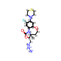 [N-]=[N+]=NC[C@H]1OC(=O)N2c3cc(F)c(N4CCSCC4)cc3OCC[C@H]12